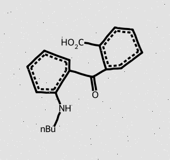 CCCCNc1ccccc1C(=O)c1ccccc1C(=O)O